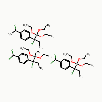 CCO[Si](C)(OCC)C(Cl)(CC)c1ccc(C(Cl)Cl)cc1.CCO[Si](OCC)(OCC)C(Cl)(CC)c1ccc(C(C)Cl)cc1.CCO[Si](OCC)(OCC)C(Cl)(CC)c1ccc(C(Cl)Cl)cc1